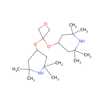 CC1(C)CC(OC2(OC3CC(C)(C)NC(C)(C)C3)COC2)CC(C)(C)N1